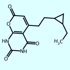 CCC1CC1CCc1cc(=O)oc2[nH]c(=O)[nH]c(=O)c12